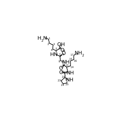 NCCCCC(NC(=O)CNC(=O)C(CCCCN)NC(=O)C1CCCN1)C(=O)O